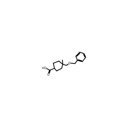 CC1(COCc2ccccc2)CCC(C(=O)O)CC1